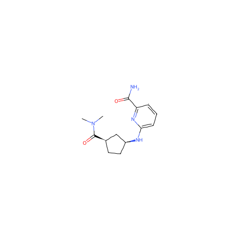 CN(C)C(=O)[C@@H]1CC[C@H](Nc2cc[c]c(C(N)=O)n2)C1